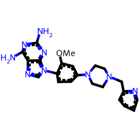 COc1cc(N2CCN(Cc3ccccn3)CC2)ccc1-n1cnc2c(N)nc(N)nc21